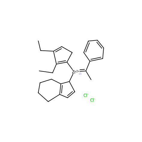 CCC1=CC[C](/[Zr+2](=[C](/C)c2ccccc2)[CH]2C=CC3=C2CCCC3)=C1CC.[Cl-].[Cl-]